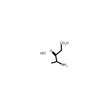 CC(N)C(=O)CC(=O)O.Cl